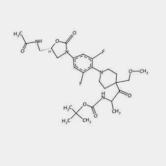 COCC1(C(=O)C(C)NC(=O)OC(C)(C)C)CCN(c2c(F)cc(N3C[C@H](CNC(C)=O)OC3=O)cc2F)CC1